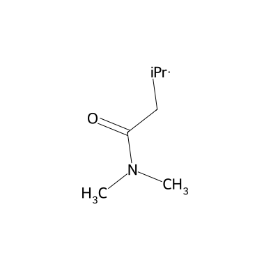 C[C](C)CC(=O)N(C)C